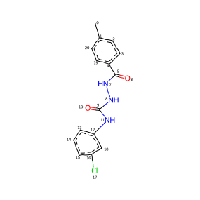 Cc1ccc(C(=O)NNC(=O)Nc2cccc(Cl)c2)cc1